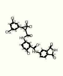 O=C(Nc1ccc2c(c1)C(=O)NC2=O)c1cc(NC(=O)C2C(c3cc(Cl)cc(Cl)c3)C2(Cl)Cl)ccc1Cl